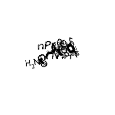 CCCn1c(CCOC(N)=O)nc(C(C)C)c1S(=O)(=O)Oc1cc(F)cc(F)c1